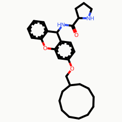 O=C(NC1c2ccccc2Oc2cc(OCC3CCCCCCCCCC3)ccc21)C1CCCN1